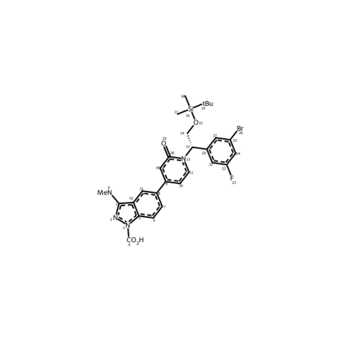 CNc1nn(C(=O)O)c2ccc(-c3ccn([C@H](CO[Si](C)(C)C(C)(C)C)c4cc(F)cc(Br)c4)c(=O)c3)cc12